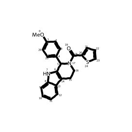 COc1ccc(C2c3[nH]c4ccccc4c3CCN2C(=O)c2cccs2)cc1